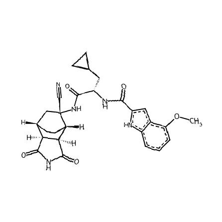 COc1cccc2[nH]c(C(=O)N[C@@H](CC3CC3)C(=O)N[C@@]3(C#N)C[C@@H]4CC[C@H]3[C@H]3C(=O)NC(=O)[C@@H]43)cc12